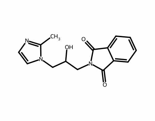 Cc1nccn1CC(O)CN1C(=O)c2ccccc2C1=O